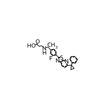 CC(NCCC(=O)O)c1ccc(-c2nc3ccc(C4(c5ccccc5)CC4)nc3s2)c(F)c1